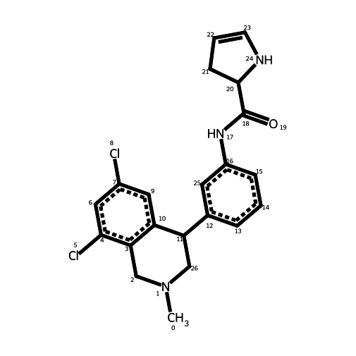 CN1Cc2c(Cl)cc(Cl)cc2C(c2cccc(NC(=O)C3CC=CN3)c2)C1